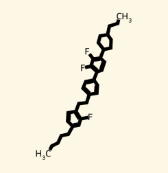 CCCCCc1ccc(CCc2ccc(-c3ccc(C4CCC(CCC)CC4)c(F)c3F)cc2)c(F)c1